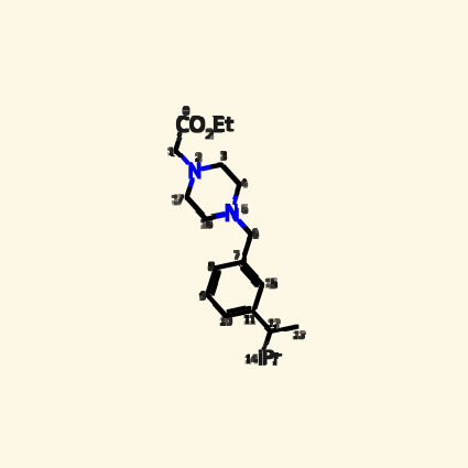 CCOC(=O)CN1CCN(Cc2cccc(C(C)C(C)C)c2)CC1